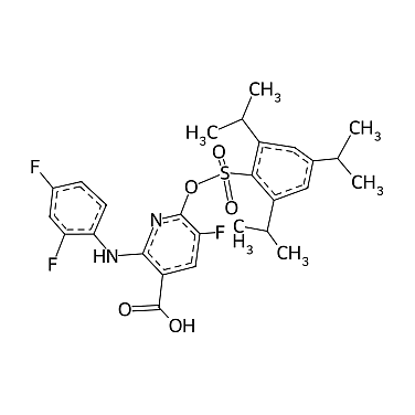 CC(C)c1cc(C(C)C)c(S(=O)(=O)Oc2nc(Nc3ccc(F)cc3F)c(C(=O)O)cc2F)c(C(C)C)c1